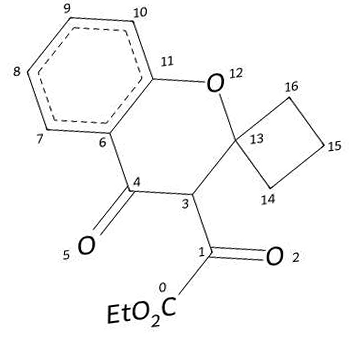 CCOC(=O)C(=O)C1C(=O)c2ccccc2OC12CCC2